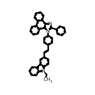 CCn1c2ccccc2c2cc(C=Cc3ccc(-n4c(-c5ccccc5)nc5c6ccccc6c6ccccc6c54)cc3)ccc21